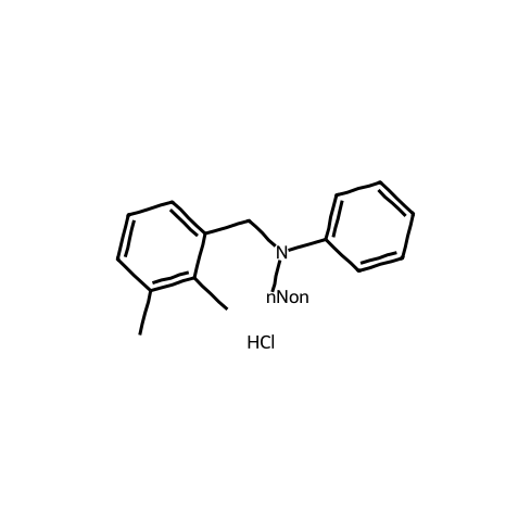 CCCCCCCCCN(Cc1cccc(C)c1C)c1ccccc1.Cl